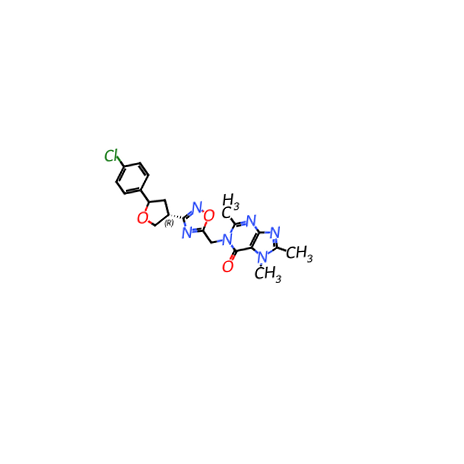 Cc1nc2nc(C)n(C)c2c(=O)n1Cc1nc([C@@H]2COC(c3ccc(Cl)cc3)C2)no1